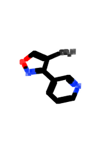 O=C(O)c1conc1-c1cccnc1